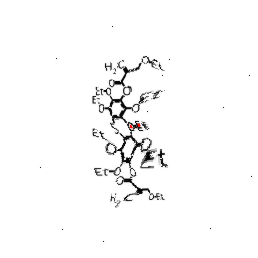 C=C(COCC)C(=O)Oc1c(OCC)c(OCC)c(Sc2c(OCC)c(OCC)c(OC(=O)C(=C)COCC)c(OCC)c2OCC)c(OCC)c1OCC